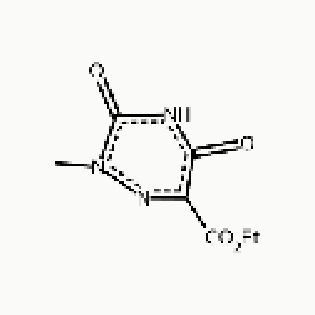 CCOC(=O)c1nn(C)c(=O)[nH]c1=O